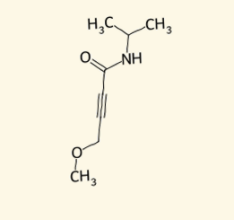 COCC#CC(=O)NC(C)C